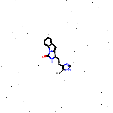 Cc1[nH]cnc1CCC1NC(=O)n2c1cc1ccccc12